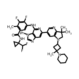 Cc1c(C(=O)NC2(C(F)F)CC2)cc(Nc2nc(-c3cnc4c(c3)N(C3CC(C)(N5CCCCC5)C3)CC4(C)C)cc3ncn(C(C)C)c23)c(F)c1F